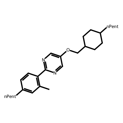 CCCCCc1ccc(-c2ncc(OCC3CCC(CCCCC)CC3)cn2)c(C)c1